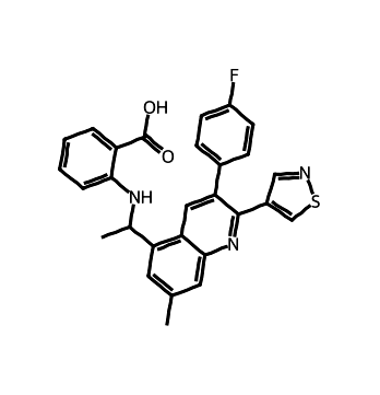 Cc1cc(C(C)Nc2ccccc2C(=O)O)c2cc(-c3ccc(F)cc3)c(-c3cnsc3)nc2c1